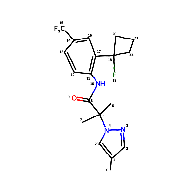 Cc1cnn(C(C)(C)C(=O)Nc2ccc(C(F)(F)F)cc2C2(F)CCC2)c1